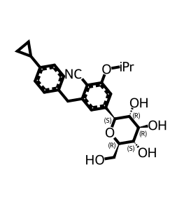 CC(C)Oc1cc([C@@H]2O[C@H](CO)[C@@H](O)[C@H](O)[C@H]2O)cc(Cc2ccc(C3CC3)cc2)c1C#N